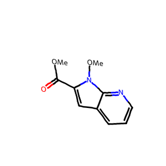 COC(=O)c1cc2cccnc2n1OC